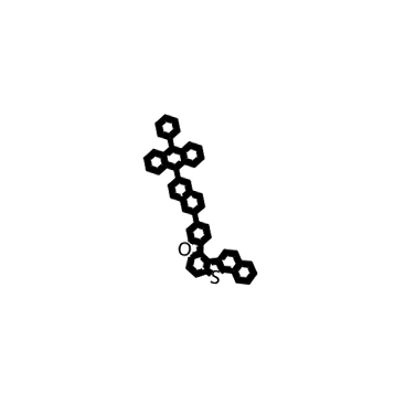 c1ccc(-c2c3ccccc3c(-c3ccc4cc(-c5ccc6c(c5)oc5ccc7sc8c9ccccc9ccc8c7c56)ccc4c3)c3ccccc23)cc1